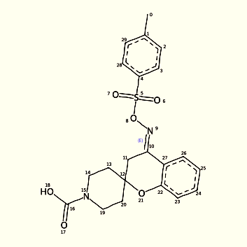 Cc1ccc(S(=O)(=O)O/N=C2\CC3(CCN(C(=O)O)CC3)Oc3ccccc32)cc1